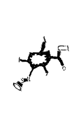 O=S=Nc1c(I)cc(I)c(C(=O)Cl)c1I